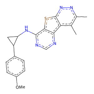 COc1ccc(C2CC2Nc2ncnc3c2sc2nnc(C)c(C)c23)cc1